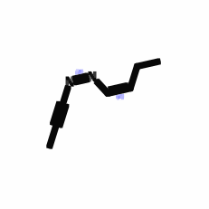 CC#C/N=N\C=C/CC